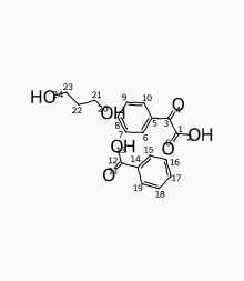 O=C(O)C(=O)c1ccccc1.O=C(O)c1ccccc1.OCCCO